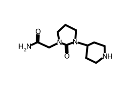 NC(=O)CN1CCCN(C2CCNCC2)C1=O